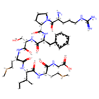 CC[C@H](C)[C@H](NC(=O)[C@H](CCSC)NC(=O)[C@H](CO)NC(=O)[C@H](Cc1ccccc1)NC(=O)[C@@H]1CCCN1C(=O)[C@@H](N)CCCNC(=N)N)C(=O)N[C@@H](CCSC)C(=O)NCC(=O)O